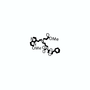 COC(=O)CCN(CCc1ccnc2ccc(OC)nc12)CCC1CN(C2=COC=C(C3=CC=CCC3)O2)C(=O)O1